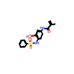 C=C(C)C(=O)Nc1ccc(NS(=O)(=O)c2ccccc2)c(O)c1